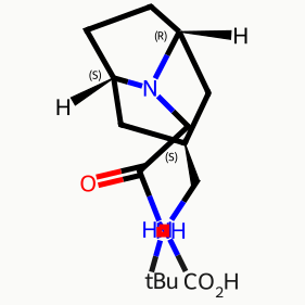 CC(C)(C)NC(=O)CN1[C@@H]2CC[C@H]1C[C@H](CNC(=O)O)C2